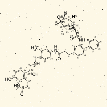 Cc1cc(NC(=O)CCc2ccc(-c3ccccc3)c(NC(=O)O[C@@H]3C[C@@H]4[C@H]5O[C@H]5[C@H](C3)[N+]4(C)C)c2)ccc1CNC[C@H](O)c1ccc(O)c2[nH]c(=O)ccc12